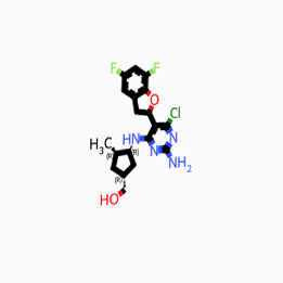 C[C@@H]1C[C@@H](CO)C[C@H]1Nc1nc(N)nc(Cl)c1C1Cc2cc(F)cc(F)c2O1